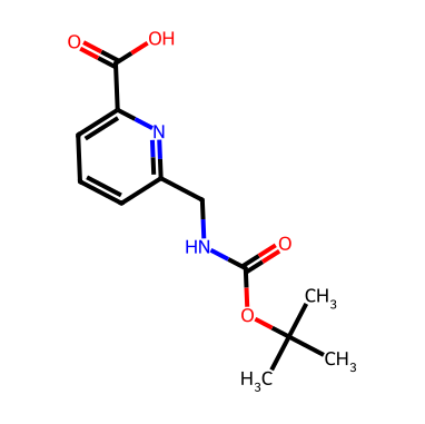 CC(C)(C)OC(=O)NCc1cccc(C(=O)O)n1